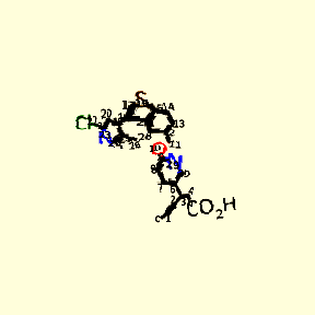 CC#CC(CC(=O)O)c1ccc(OCc2ccc3scc(-c4cc(Cl)ncc4C)c3c2)nc1